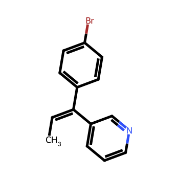 CC=C(c1ccc(Br)cc1)c1cccnc1